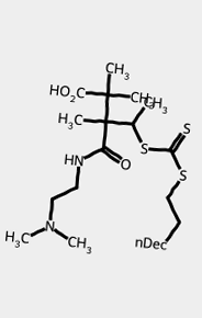 CCCCCCCCCCCCSC(=S)SC(C)C(C)(C(=O)NCCN(C)C)C(C)(C)C(=O)O